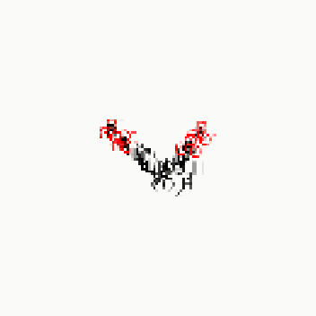 O=C(O)CCC(=O)O.[Li+].[Li+].[Li+].[Li+].[Li+].[Li+].[Li+].[Li+].[Li+].[Li+].[Li+].[Li+].[O-]B([O-])[O-].[O-]B([O-])[O-].[O-]B([O-])[O-].[O-]B([O-])[O-]